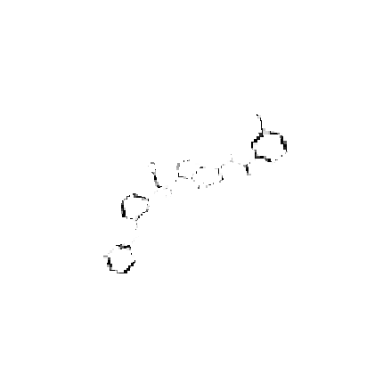 Cc1cccc(C(=O)NC2COC3C(NC(=O)c4cccc(Oc5ccccc5)c4)COC23)c1